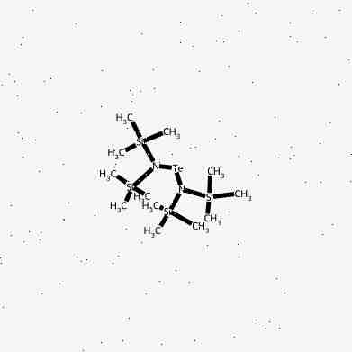 C[Si](C)(C)N([Te]N([Si](C)(C)C)[Si](C)(C)C)[Si](C)(C)C